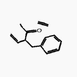 C=C.C=CC(Cc1ccccc1)C(C)=O